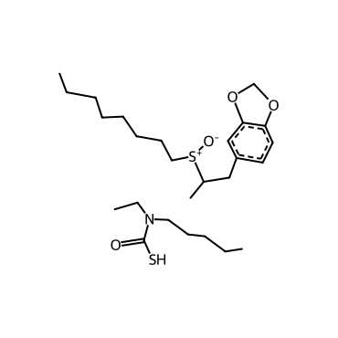 CCCCCCCC[S+]([O-])C(C)Cc1ccc2c(c1)OCO2.CCCCCN(CC)C(=O)S